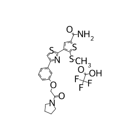 CSc1sc(C(N)=O)cc1-c1nc(-c2cccc(OCC(=O)N3CCCC3)c2)cs1.O=C(O)C(F)(F)F